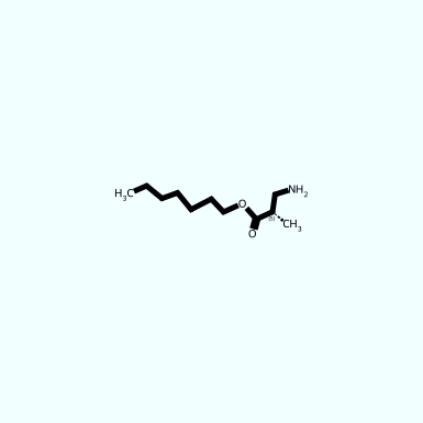 CCCCCCCOC(=O)[C@@H](C)CN